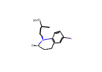 CC[C@@H]1CCc2cc(I)ccc2N1CC(C)OC